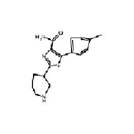 Cc1ccc(-c2sc(C3CCCNC3)nc2C(N)=O)cc1